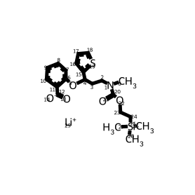 CN(CCC(Oc1ccccc1C(=O)[O-])c1cccs1)C(=O)OCC[Si](C)(C)C.[Li+]